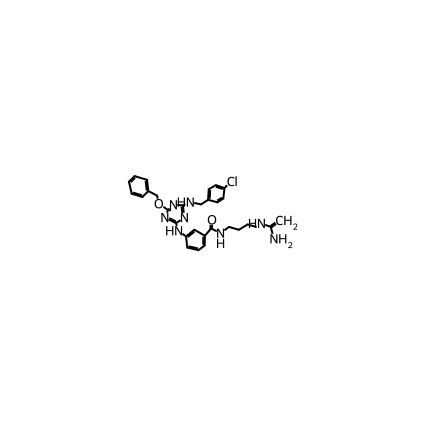 C=C(N)NCCCCNC(=O)c1cccc(Nc2nc(NCc3ccc(Cl)cc3)nc(OCc3ccccc3)n2)c1